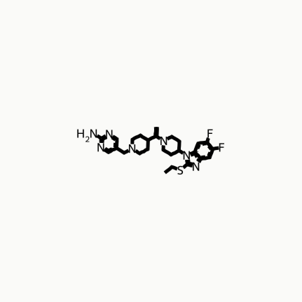 C=C(C1CCN(Cc2cnc(N)nc2)CC1)N1CCC(n2c(SCC)nc3cc(F)c(F)cc32)CC1